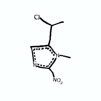 CC(Cl)c1cnc([N+](=O)[O-])n1C